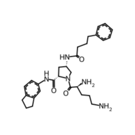 NCCC[C@H](N)C(=O)N1C[C@@H](NC(=O)CCCc2ccccc2)C[C@H]1C(=O)Nc1ccc2c(c1)CCC2